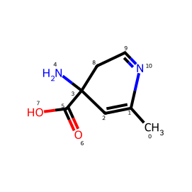 CC1=CC(N)(C(=O)O)CC=N1